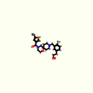 CCc1cc(C(=O)N2CCOC3(CCN(Cc4cc(CCO)ccc4F)CC3)C2)cs1